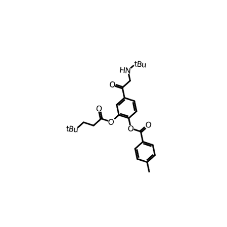 Cc1ccc(C(=O)Oc2ccc(C(=O)CNC(C)(C)C)cc2OC(=O)CCC(C)(C)C)cc1